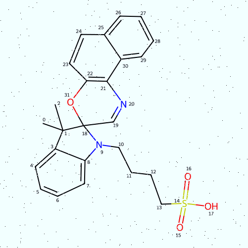 CC1(C)c2ccccc2N(CCCCS(=O)(=O)O)C12C=Nc1c(ccc3ccccc13)O2